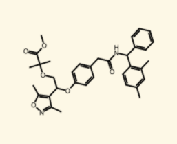 COC(=O)C(C)(C)OCC(Oc1ccc(CC(=O)NC(c2ccccc2)c2ccc(C)cc2C)cc1)c1c(C)noc1C